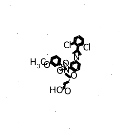 COc1cccc(S(=O)(=O)N2C[C@@H](CCC(=O)O)Oc3ccc(N4CC(c5c(Cl)cccc5Cl)C4)cc32)c1